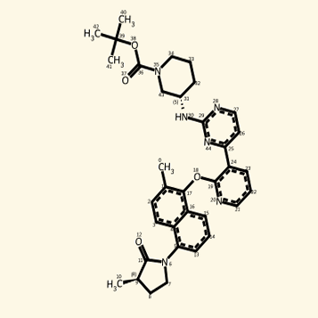 Cc1ccc2c(N3CC[C@@H](C)C3=O)cccc2c1Oc1ncccc1-c1ccnc(N[C@H]2CCCN(C(=O)OC(C)(C)C)C2)n1